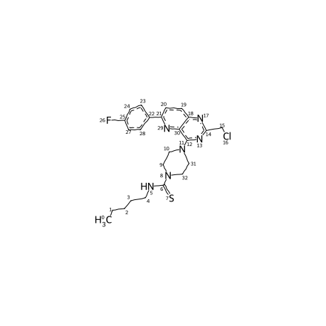 CCCCCNC(=S)N1CCN(c2nc(CCl)nc3ccc(-c4ccc(F)cc4)nc23)CC1